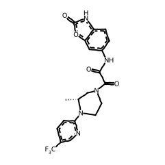 C[C@@H]1CN(C(=O)C(=O)Nc2ccc3[nH]c(=O)oc3c2)CCN1c1ccc(C(F)(F)F)cn1